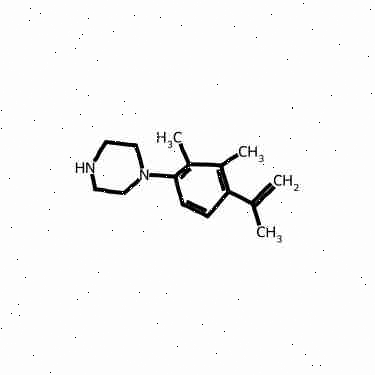 C=C(C)c1ccc(N2CCNCC2)c(C)c1C